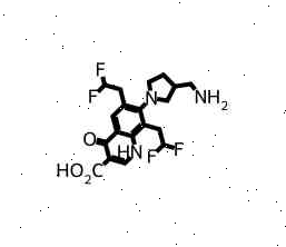 NCC1CCN(c2c(CC(F)F)cc3c(=O)c(C(=O)O)c[nH]c3c2CC(F)F)C1